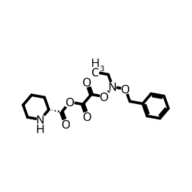 CCN(OCc1ccccc1)OC(=O)C(=O)OC(=O)[C@H]1CCCCN1